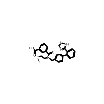 CCCN(Cc1ccc(-c2ccccc2-c2nnn[nH]2)cc1)C(=O)c1cccc(C(=O)O)c1